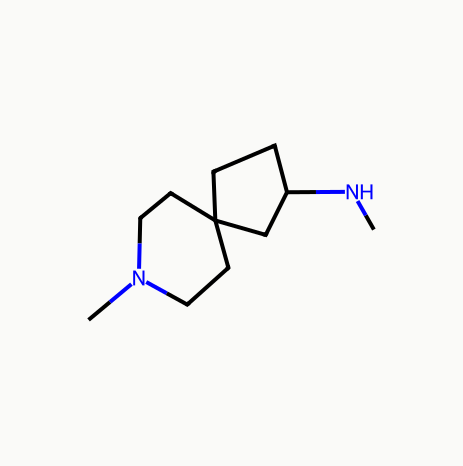 CNC1CCC2(CCN(C)CC2)C1